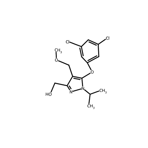 COCc1c(CO)nn(C(C)C)c1Oc1cc(Cl)cc(Cl)c1